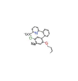 C/C=C\COc1ccc(Cl)cc1-c1ccccc1-c1cccc(C(=O)[O-])n1.[Na+]